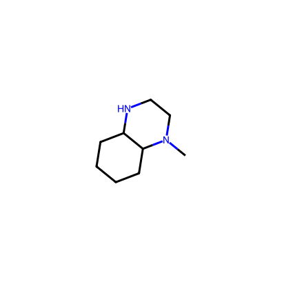 CN1CCNC2CCCCC21